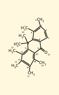 Cc1ccc2c(c1C)C(C)(C)c1c(C)c(C)c(C)c(C)c1C2=O